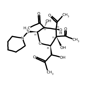 CC(=O)C(O)[C@H]1O[C@@H](SN2CCCCC2)[C@@](O)(C(C)=O)[C@](O)(C(C)=O)[C@]1(O)C(C)=O